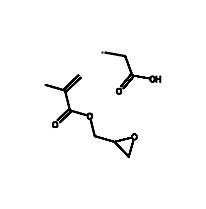 C=C(C)C(=O)OCC1CO1.[CH2]CC(=O)O